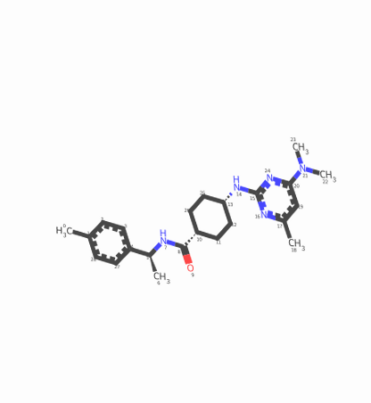 Cc1ccc([C@H](C)NC(=O)[C@H]2CC[C@@H](Nc3nc(C)cc(N(C)C)n3)CC2)cc1